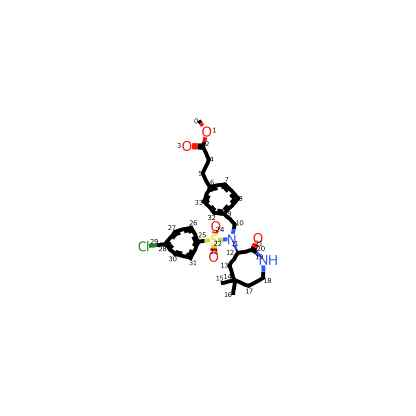 COC(=O)CCc1ccc(CN([C@@H]2CC(C)(C)CCNC2=O)S(=O)(=O)c2ccc(Cl)cc2)cc1